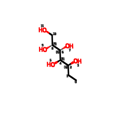 CC[C@H](O)[C@@H](O)[C@@H](O)[C@H](O)CO